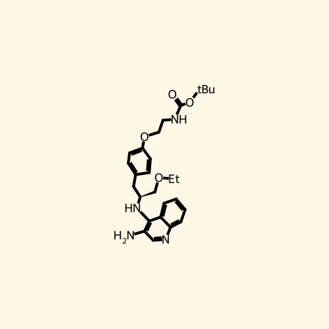 CCOC[C@H](Cc1ccc(OCCNC(=O)OC(C)(C)C)cc1)Nc1c(N)cnc2ccccc12